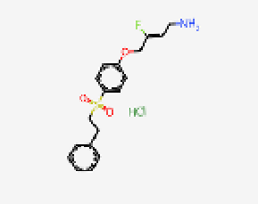 Cl.NCC=C(F)COc1ccc(S(=O)(=O)CCc2ccccc2)cc1